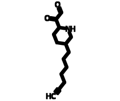 C#CCCCCCC1CCC(C(=O)C=O)NC1